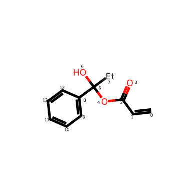 C=CC(=O)OC(O)(CC)c1ccccc1